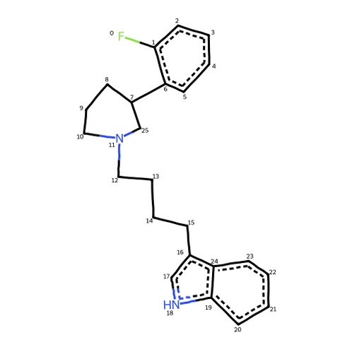 Fc1ccccc1C1CCCN(CCCCc2c[nH]c3ccccc23)C1